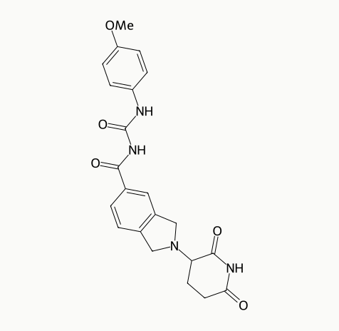 COc1ccc(NC(=O)NC(=O)c2ccc3c(c2)CN(C2CCC(=O)NC2=O)C3)cc1